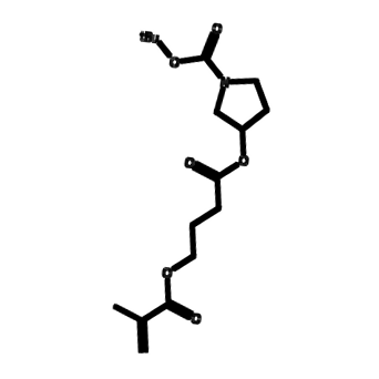 C=C(C)C(=O)OCCCC(=O)OC1CCN(C(=O)OC(C)(C)C)C1